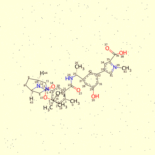 Cc1ccc(N2C[C@H]3CC[C@@H](C2)N3C(=O)OC(C)(C)C)cc1C(=O)N[C@H](C)c1cc(O)cc(-c2cc(C(=O)O)n(C)c2)c1